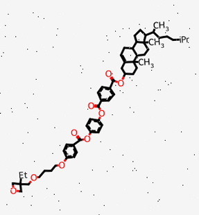 CCC1(COCCCCOc2ccc(C(=O)Oc3ccc(OC(=O)c4ccc(C(=O)OC5CCC6(C)C(=CCC7C6CCC6(C)C(C(C)CCCC(C)C)CCC76)C5)cc4)cc3)cc2)COC1